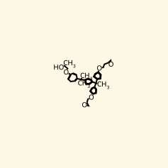 CC(O)COC1=CCC=C(C(C)(C)c2ccc(C(C)(c3ccc(OCCC4CO4)cc3)c3ccc(OCC4CO4)cc3)cc2)C=C1